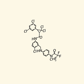 CN(C(=O)C(F)(F)F)c1ccc(NCc2cc(NC(=O)C3C(c4cc(Cl)cc(Cl)c4)C3(Cl)Cl)ccc2Cl)cc1